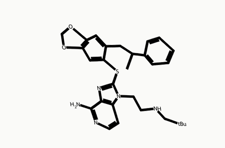 CC(Cc1cc2c(cc1Sc1nc3c(N)nccc3n1CCNCC(C)(C)C)OCO2)c1ccccc1